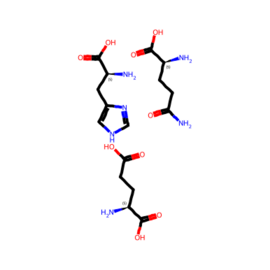 NC(=O)CC[C@H](N)C(=O)O.N[C@@H](CCC(=O)O)C(=O)O.N[C@@H](Cc1c[nH]cn1)C(=O)O